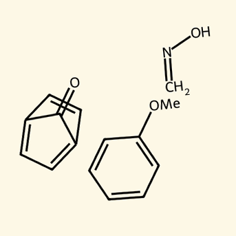 C=NO.COc1ccccc1.O=C1C2=CC=C1C=C2